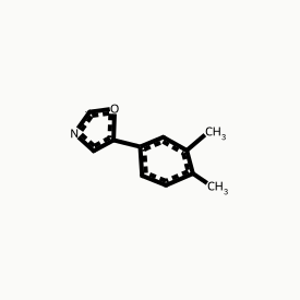 Cc1ccc(-c2cn[c]o2)cc1C